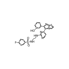 O=S(=O)(NCCNc1nccc(-c2c(-c3cccc(O)c3)nc3sccn23)n1)c1ccc(F)cc1